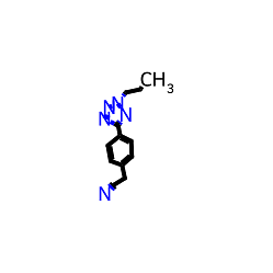 CCCn1nnc(-c2ccc(CC#N)cc2)n1